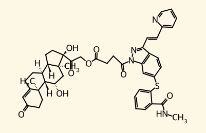 CNC(=O)c1ccccc1Sc1ccc2c(/C=C/c3ccccn3)nn(C(=O)CCC(=O)OCC(=O)[C@@]3(O)CC[C@H]4[C@@H]5CCC6=CC(=O)CC[C@]6(C)[C@H]5[C@@H](O)C[C@@]43C)c2c1